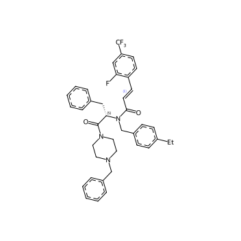 CCc1ccc(CN(C(=O)/C=C/c2ccc(C(F)(F)F)cc2F)[C@@H](Cc2ccccc2)C(=O)N2CCN(Cc3ccccc3)CC2)cc1